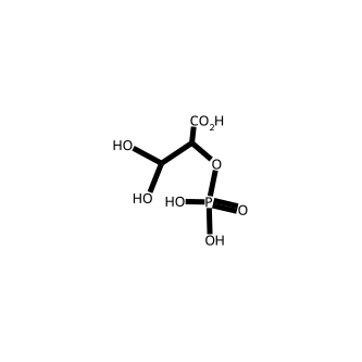 O=C(O)C(OP(=O)(O)O)C(O)O